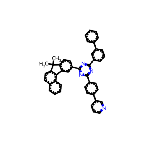 CC1(C)c2ccc(-c3nc(-c4ccc(-c5cccnc5)cc4)nc(-c4cccc(-c5ccccc5)c4)n3)cc2-c2c1ccc1ccccc21